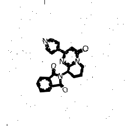 O=C1c2ccccc2C(=O)N1C1CCCn2c1nc(-c1ccncc1)cc2=O